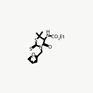 CCOC(=O)NC1C(=O)N(Cc2ccco2)C(=S)SC1(C)C